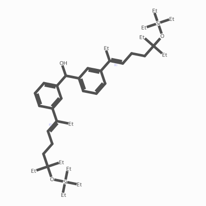 CC/C(=C\CCC(CC)(CC)O[Si](CC)(CC)CC)c1cccc(C(O)c2cccc(/C(=C/CCC(CC)(CC)O[Si](CC)(CC)CC)CC)c2)c1